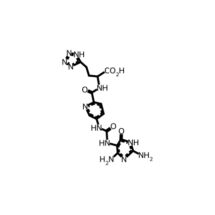 Nc1nc(N)c(NC(=O)Nc2ccc(C(=O)NC(CCc3nnn[nH]3)C(=O)O)nc2)c(=O)[nH]1